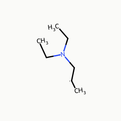 C[CH]CN(CC)CC